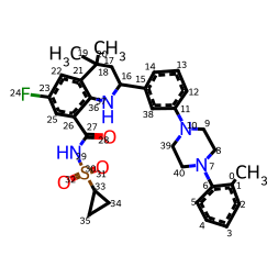 Cc1ccccc1N1CCN(c2cccc(C3CC(C)(C)c4cc(F)cc(C(=O)NS(=O)(=O)C5CC5)c4N3)c2)CC1